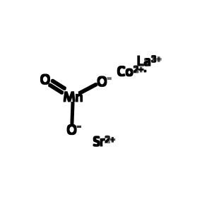 [Co+2].[La+3].[O]=[Mn]([O-])[O-].[Sr+2]